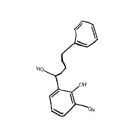 Oc1cccc(C(O)CCc2ccccc2)c1O